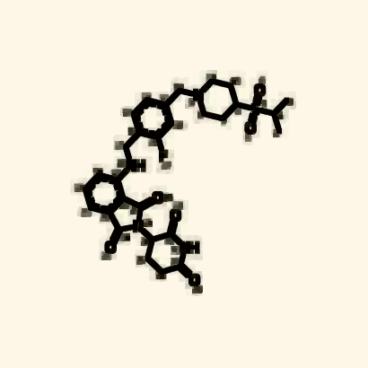 CC(C)S(=O)(=O)C1CCN(Cc2ccc(CNc3cccc4c3C(=O)N(C3CCC(=O)NC3=O)C4=O)c(F)c2)CC1